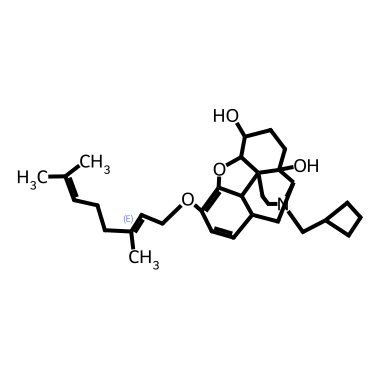 CC(C)=CCC/C(C)=C/COC1=C2OC3C(O)CCC4(O)C5CC(C=C1)C2C34CCN5CC1CCC1